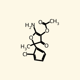 CC(=O)OC1=C(N)OC(C)(c2ccccc2Cl)C1=O